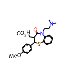 COc1ccc(C2Sc3ccccc3N(CCN(C)C)C(=O)C2CC(=O)O)cc1